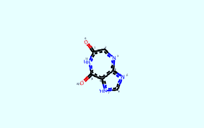 O=c1cnc2nc[nH]c2c(=O)[nH]1